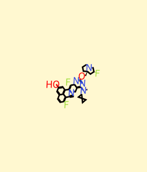 C#Cc1c(F)ccc2cc(O)cc(-c3ncc4c(N(C)C5CC56CC6)nc(OC[C@@]56CCCN5C[C@H](F)C6)nc4c3F)c12